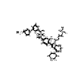 CC(c1cccc(N2CCC(N)C2)c1)S(=O)(=O)Nc1ccc(-c2cc3c(N4CCOCC4)ncnc3n2COCC[Si](C)(C)C)c(F)c1